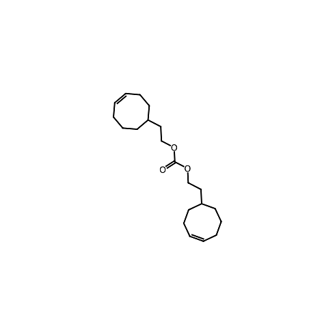 O=C(OCCC1CCC=CCCC1)OCCC1CCC=CCCC1